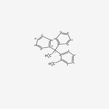 Cc1ccccc1C(C)(c1ccccc1)c1ccccc1